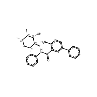 C[C@@H]1[C@H](O)[C@@H](F)[C@H](c2ccncc2NC(=O)c2nc(-c3ccccc3)cnc2N)O[C@@H]1C